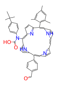 Cc1cc(C)c(-c2c3nc(c(N(C(=O)O)c4ccc(C(C)(C)C)cc4)c4ccc([nH]4)c(-c4ccc(C=O)cc4)c4nc(cc5ccc2[nH]5)C=C4)C=C3)c(C)c1